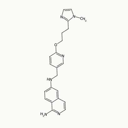 Cn1ccnc1CCCOc1ccc(CNc2ccc3c(N)nccc3c2)cn1